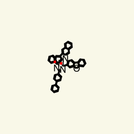 c1ccc(-c2ccc(-c3nc(-c4ccccc4)nc(-c4cc5oc6ccccc6c5cc4-n4c5ccccc5c5cc6ccccc6cc54)n3)cc2)cc1